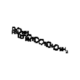 Nc1ccc(N2CCN(C3CCC4(CC3)CCN(c3ccc(C(=O)NC5CCC(=O)NC5=O)nn3)CC4)CC2)cc1